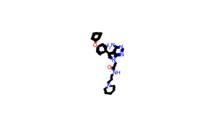 Nc1ncnc2c1c(-c1ccc(Oc3ccccc3)cc1)cn2CC(=O)NCCCN1CCCCC1